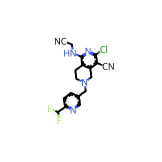 N#CCNc1nc(Cl)c(C#N)c2c1CCN(Cc1ccc(C(F)F)nc1)C2